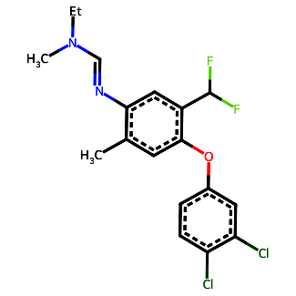 CCN(C)C=Nc1cc(C(F)F)c(Oc2ccc(Cl)c(Cl)c2)cc1C